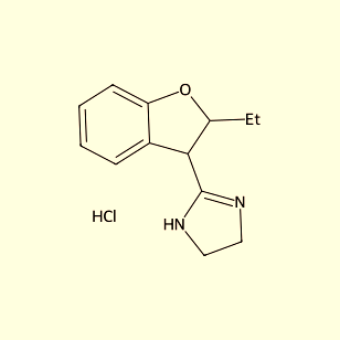 CCC1Oc2ccccc2C1C1=NCCN1.Cl